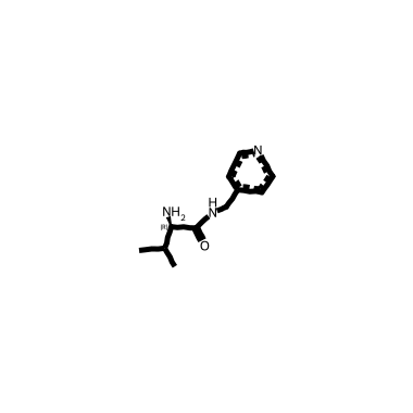 CC(C)[C@@H](N)C(=O)NCc1ccncc1